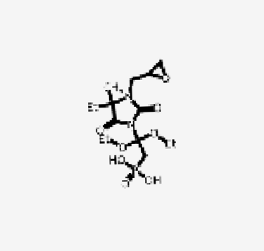 CCOC(CP(=O)(O)O)(OCC)N1C(=O)N(CC2CO2)C(C)(CC)C1=O